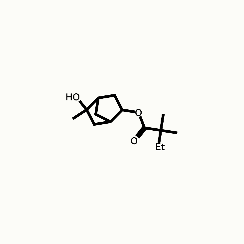 CCC(C)(C)C(=O)OC1CC2CC1CC2(C)O